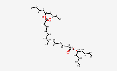 CCCCC(CCCC)OC(=O)CCCCCC(C)CCCCCC(=O)OC(CCCC)CCCC